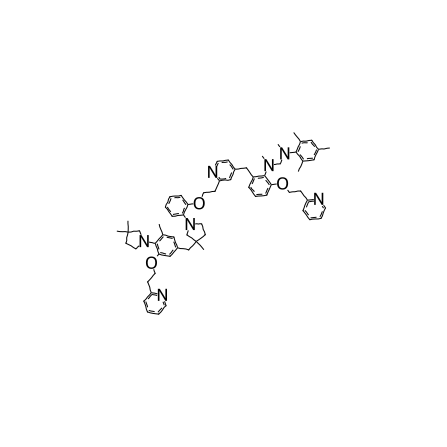 Cc1cc(C)c(N(C)CN(C)c2c(Cc3ccnc(CCOc4ccccc4N4CCC(C)(Cc5cc(C)c(N6CCC(C)(C)C6)c(OCCc6ccccn6)c5)C4)c3)cccc2OCCc2ccccn2)c(C)c1